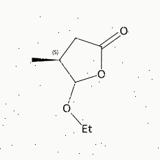 CCOC1OC(=O)C[C@@H]1C